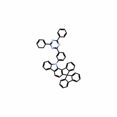 C1=CCCC(c2nc(-c3ccccc3)nc(-c3cccc(-n4c5ccccc5c5ccc6c(c54)-c4ccccc4C64c5ccccc5-c5ccccc54)c3)n2)=C1